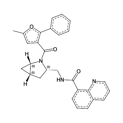 Cc1cc(C(=O)N2[C@H](CNC(=O)c3cccc4cccnc34)C[C@@H]3C[C@@H]32)c(-c2ccccc2)o1